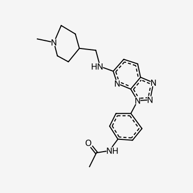 CC(=O)Nc1ccc(-n2nnc3ccc(NCC4CCN(C)CC4)nc32)cc1